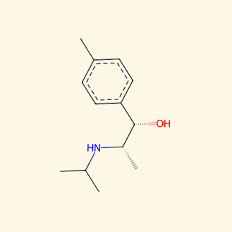 Cc1ccc([C@H](O)[C@H](C)NC(C)C)cc1